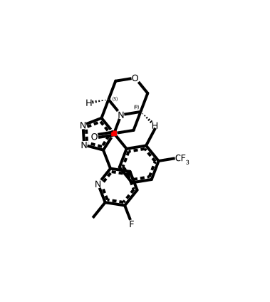 Cc1nc(-c2nnc3n2C[C@@H]2COC[C@H]3N2C(=O)c2cccc(C(F)(F)F)c2C)ccc1F